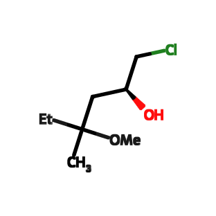 CCC(C)(C[C@H](O)CCl)OC